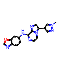 Cn1cc(-c2cnc3c(Nc4ccc5ncoc5c4)nccn23)cn1